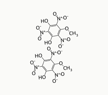 COc1c([N+](=O)[O-])c(O)c([N+](=O)[O-])c(O)c1[N+](=O)[O-].COc1c([N+](=O)[O-])c(O)c([N+](=O)[O-])c(O)c1[N+](=O)[O-]